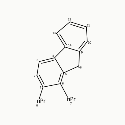 CCCc1ccc2c(c1CCC)[C]c1ccccc1-2